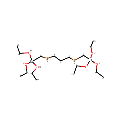 CCO[Si](CSCCCSC[Si](OCC)(OCC)OCC)(OCC)OCC